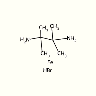 Br.CC(C)(N)C(C)(C)N.[Fe]